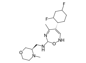 CC1=NC(NC[C@@H]2COCCN2C)ONC=C1[C@H]1CCC(F)CC1F